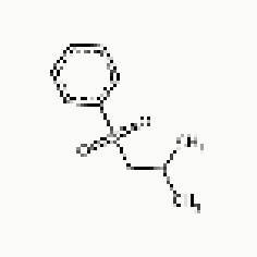 C[C](C)CS(=O)(=O)c1ccccc1